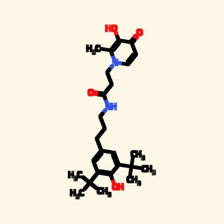 Cc1c(O)c(=O)ccn1CCC(=O)NCCCc1cc(C(C)(C)C)c(O)c(C(C)(C)C)c1